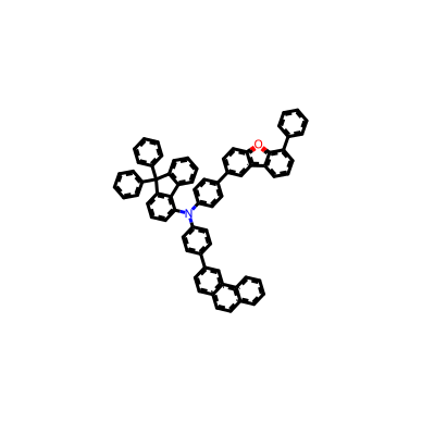 c1ccc(-c2cccc3c2oc2ccc(-c4ccc(N(c5ccc(-c6ccc7ccc8ccccc8c7c6)cc5)c5cccc6c5-c5ccccc5C6(c5ccccc5)c5ccccc5)cc4)cc23)cc1